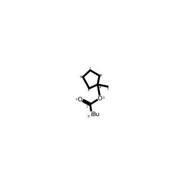 CCC(C)C(=O)OC1(C)CCCC1